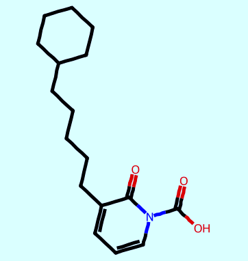 O=C(O)n1cccc(CCCCCC2CCCCC2)c1=O